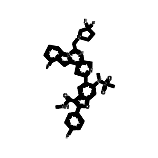 CNC(=O)c1c(-c2ccc(F)cc2)oc2cc(N(C)S(C)(=O)=O)c(-c3cc4c(cn3)nc(CN3CCC(F)(F)C3)n3c5cccc(F)c5cc43)cc12